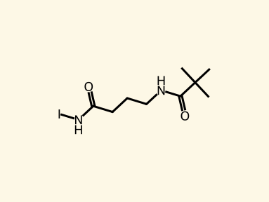 CC(C)(C)C(=O)NCCCC(=O)NI